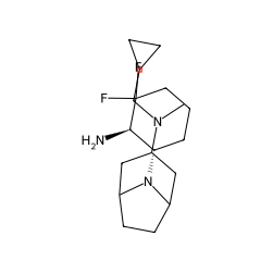 CN(CC1CC1)C1CC2CCC(C1)N2[C@H]1CCCC(F)(F)[C@@H]1N